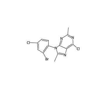 Cc1nc(Cl)c2nc(C)n(-c3ccc(Cl)cc3Br)c2n1